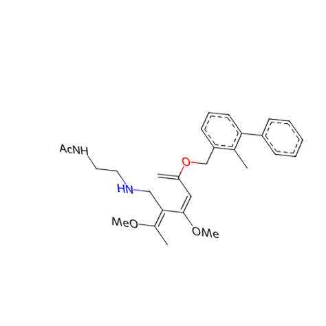 C=C(/C=C(OC)\C(CNCCNC(C)=O)=C(/C)OC)OCc1cccc(-c2ccccc2)c1C